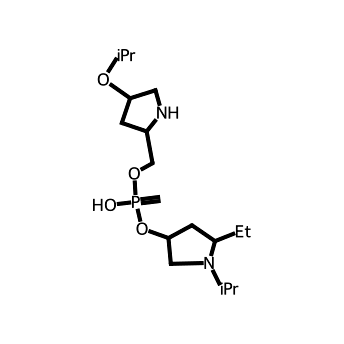 C=P(O)(OCC1CC(OC(C)C)CN1)OC1CC(CC)N(C(C)C)C1